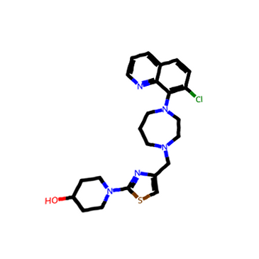 OC1CCN(c2nc(CN3CCCN(c4c(Cl)ccc5cccnc45)CC3)cs2)CC1